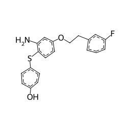 Nc1cc(OCCc2cccc(F)c2)ccc1Sc1ccc(O)cc1